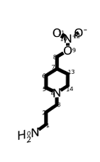 NCCCN1CCC(CO[N+](=O)[O-])CC1